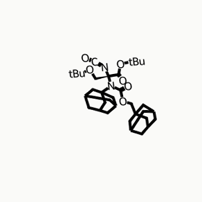 CC(C)(C)OC[C@@](N=C=O)(C(=O)OC(C)(C)C)N(C(=O)OCC12CC3CC(CC(C3)C1)C2)C12CC3CC(CC(C3)C1)C2